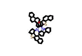 c1ccc2cc3c(cc2c1)sc1cccc(N(c2ccc4ccc5c6ccccc6ccc5c4c2)c2cccc4c5ccccc5n(-c5cccc6c5sc5c7ccccc7ccc65)c24)c13